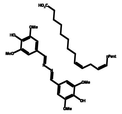 CCCCC/C=C\C/C=C\CCCCCCCC(=O)O.COc1cc(/C=N/N=C/c2cc(OC)c(O)c(OC)c2)cc(OC)c1O